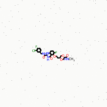 CNC(=O)C1COC(CCOc2c(F)ccc3nc(C(=O)NCc4ccc(F)c(Cl)c4)[nH]c(=O)c23)CO1